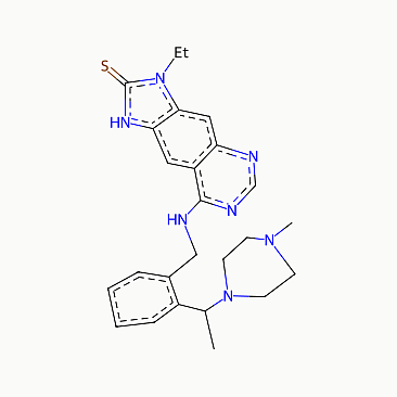 CCn1c(=S)[nH]c2cc3c(NCc4ccccc4C(C)N4CCN(C)CC4)ncnc3cc21